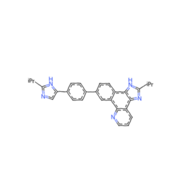 CC(C)c1ncc(-c2ccc(-c3ccc4c(c3)c3ncccc3c3nc(C(C)C)[nH]c43)cc2)[nH]1